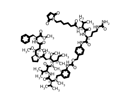 CC[C@H](C)[C@@H]([C@@H](CC(=O)N1CCC[C@H]1[C@H](OC)[C@@H](C)C(=O)N[C@@H](Cc1ccccc1)C(=O)OC)OC)N(C)C(=O)[C@@H](NC(=O)[C@H](C(C)C)N(C)Cc1cccc(NC(=O)OCc2ccc(NC(=O)[C@H](CCCNC(N)=O)NC(=O)[C@@H](NC(=O)CCCCCN3C(=O)C=CC3=O)C(C)C)cc2)c1)C(C)C